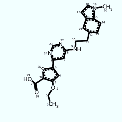 CCOc1cc(-c2cc(NCCc3ccc4c(ccn4C)c3)ncn2)sc1C(=O)O